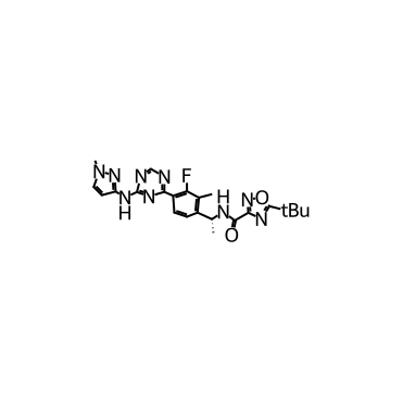 Cc1c([C@@H](C)NC(=O)c2noc(C(C)(C)C)n2)ccc(-c2ncnc(Nc3ccn(C)n3)n2)c1F